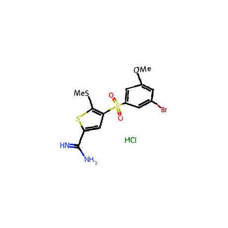 COc1cc(Br)cc(S(=O)(=O)c2cc(C(=N)N)sc2SC)c1.Cl